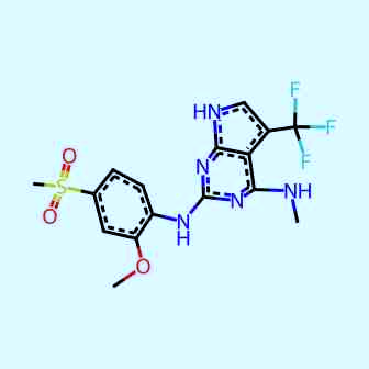 CNc1nc(Nc2ccc(S(C)(=O)=O)cc2OC)nc2[nH]cc(C(F)(F)F)c12